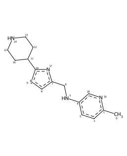 Cc1ccc(NCc2csc(C3CCNCC3)n2)cn1